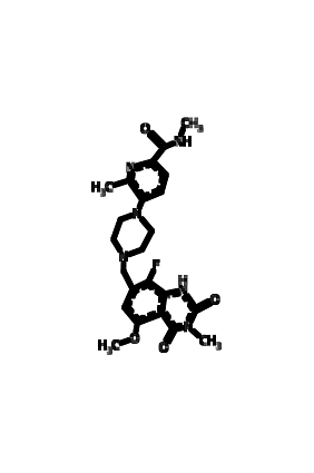 CNC(=O)c1ccc(N2CCN(Cc3cc(OC)c4c(=O)n(C)c(=O)[nH]c4c3F)CC2)c(C)n1